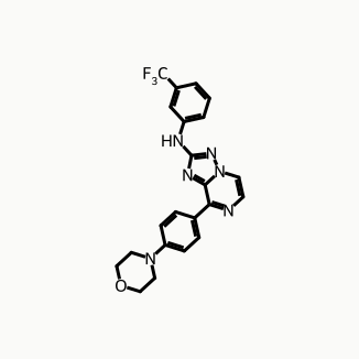 FC(F)(F)c1cccc(Nc2nc3c(-c4ccc(N5CCOCC5)cc4)nccn3n2)c1